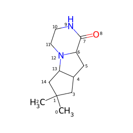 CC1(C)CC2CC3C(=O)NCCN3C2C1